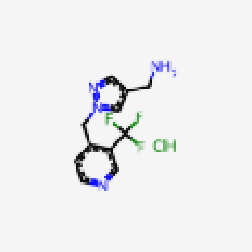 Cl.NCc1cnn(Cc2ccncc2C(F)(F)F)c1